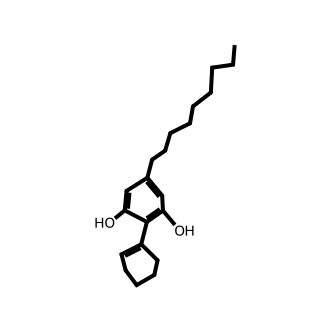 CCCCCCCCCc1cc(O)c(C2=CCCCC2)c(O)c1